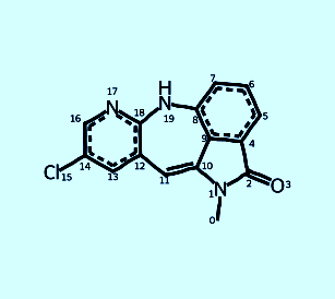 CN1C(=O)c2cccc3c2C1=Cc1cc(Cl)cnc1N3